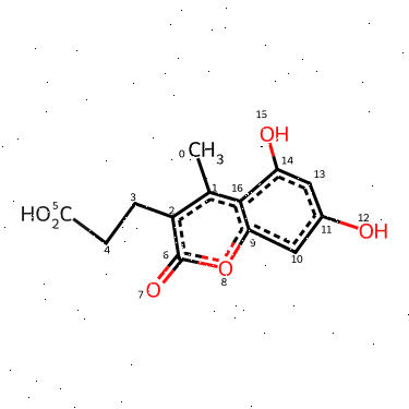 Cc1c(CCC(=O)O)c(=O)oc2cc(O)cc(O)c12